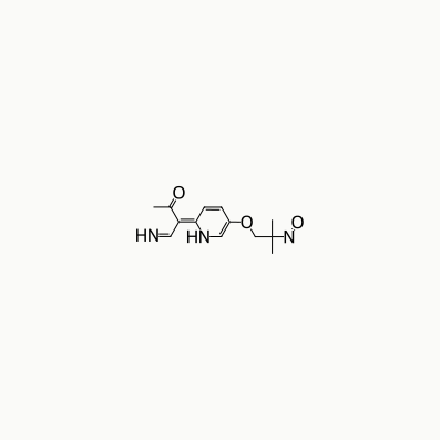 CC(=O)/C(C=N)=C1\C=CC(OCC(C)(C)N=O)=CN1